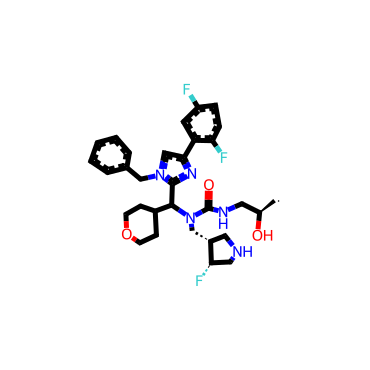 [CH2][C@@H](O)CNC(=O)N(C[C@@H]1CNC[C@@H]1F)C(c1nc(-c2cc(F)ccc2F)cn1Cc1ccccc1)C1CCOCC1